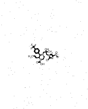 CC=CC1C(c2ccc(C(F)(F)F)cc2)N(CC(C)(O)Cn2cc([N+](=O)[O-])nc2Cl)CCN1C(=O)O